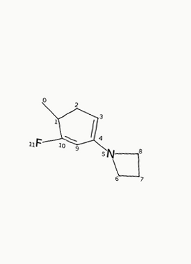 CC1CC=C(N2CCC2)C=C1F